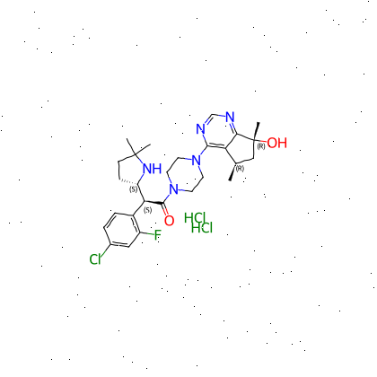 C[C@@H]1C[C@@](C)(O)c2ncnc(N3CCN(C(=O)[C@@H](c4ccc(Cl)cc4F)[C@@H]4CCC(C)(C)N4)CC3)c21.Cl.Cl